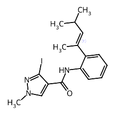 C/C(=C\C(C)C)c1ccccc1NC(=O)c1cn(C)nc1I